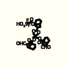 O=CC1CC2CCCC(C(=O)OCC3(COC(=O)C45CCCC(CC(C=O)C4)C5)COC(C4CC5CCC[C@](OC(=O)C(F)(F)S(=O)(=O)O)(C5)C4)OC3)(C1)C2